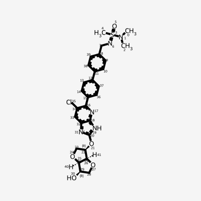 CN(C)S(C)(=O)=NCc1ccc(-c2ccc(-c3nc4[nH]c(O[C@@H]5CO[C@H]6[C@@H]5OC[C@H]6O)nc4cc3Cl)cc2)cc1